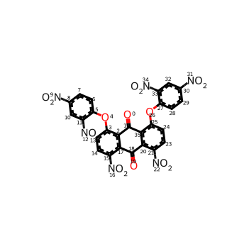 O=C1c2c(Oc3ccc([N+](=O)[O-])cc3[N+](=O)[O-])ccc([N+](=O)[O-])c2C(=O)c2c([N+](=O)[O-])ccc(Oc3ccc([N+](=O)[O-])cc3[N+](=O)[O-])c21